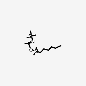 CCCCCC[Si](C)(C)OC(C)=N[Si](C)(C)C